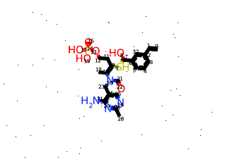 C=Cc1cccc(/C(O)=[SH]/C(CCOP(=O)(O)O)=C(/C)N(C=O)Cc2cnc(C)nc2N)c1